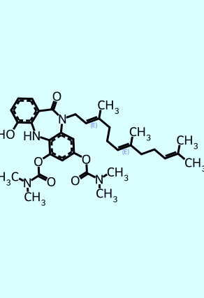 CC(C)=CCC/C(C)=C/CC/C(C)=C/CN1C(=O)c2cccc(O)c2Nc2c(OC(=O)N(C)C)cc(OC(=O)N(C)C)cc21